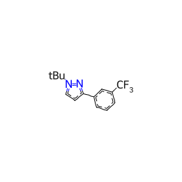 CC(C)(C)n1ccc(-c2cccc(C(F)(F)F)c2)n1